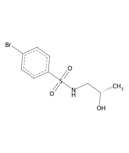 C[C@H](O)CNS(=O)(=O)c1ccc(Br)cc1